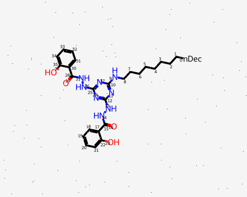 CCCCCCCCCCCCCCCCCCNc1nc(NNC(=O)c2ccccc2O)nc(NNC(=O)c2ccccc2O)n1